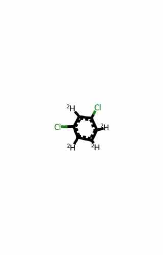 [2H]c1c([2H])c(Cl)c([2H])c(Cl)c1[2H]